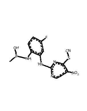 CB(O)Nc1ccc(F)cc1Nc1ncc([N+](=O)[O-])c(SC#N)n1